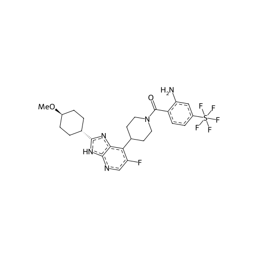 CO[C@H]1CC[C@H](c2nc3c(C4CCN(C(=O)c5ccc(S(F)(F)(F)(F)F)cc5N)CC4)c(F)cnc3[nH]2)CC1